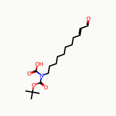 CC(C)(C)OC(=O)N(CCCCCCCCC=CC=O)C(=O)O